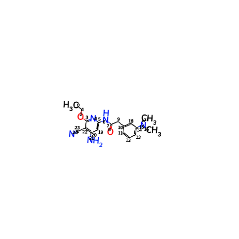 CCOc1nc(NC(=O)Cc2cccc(N(C)C)c2)cc(N)c1C#N